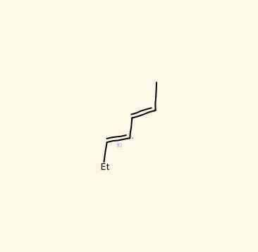 CC=C/[C]=C/CC